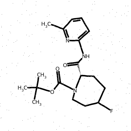 Cc1cccc(NC(=O)[C@@H]2CCC(F)CCN2C(=O)OC(C)(C)C)n1